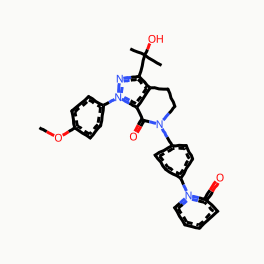 COc1ccc(-n2nc(C(C)(C)O)c3c2C(=O)N(c2ccc(-n4ccccc4=O)cc2)CC3)cc1